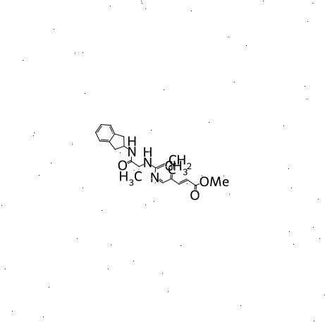 C=C=C(/C=N\C(=C/C)N[C@H](C)C(=O)NC1Cc2ccccc2C1)/C=C/C(=O)OC